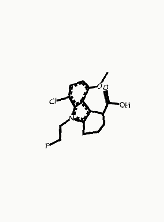 COc1ccc(Cl)c2c1c1c(n2CCF)CCCC1C(=O)O